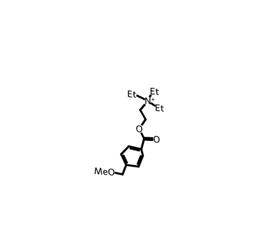 CC[N+](CC)(CC)CCOC(=O)c1ccc(COC)cc1